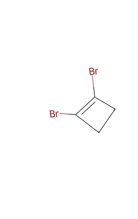 BrC1=C(Br)CC1